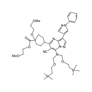 COCCOC(=O)C1(OCCOC)CCC(c2nc3c(-c4cnn(-c5ccccc5)c4)cnn3c(N(COCC[Si](C)(C)C)COCC[Si](C)(C)C)c2C#N)CC1